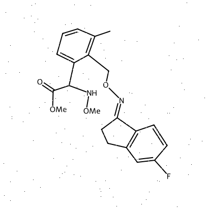 CONC(C(=O)OC)c1cccc(C)c1CO/N=C1\CCc2cc(F)ccc21